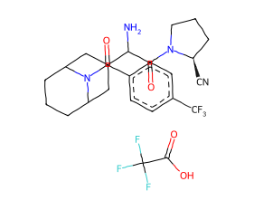 N#C[C@@H]1CCCN1C(=O)C(N)C1CC2CCCC(C1)N2C(=O)c1ccc(C(F)(F)F)cc1.O=C(O)C(F)(F)F